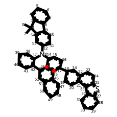 CC1(C)c2ccccc2-c2ccc(N(c3ccc(-c4ccc5c(ccc6sc7ccccc7c65)c4)cc3)c3ccccc3-c3ccc4ccccc4c3)cc21